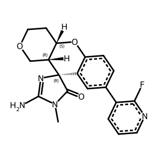 CN1C(=O)[C@]2(N=C1N)c1cc(-c3cccnc3F)ccc1O[C@H]1CCOC[C@H]12